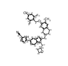 Cc1cc2c(nc1OCc1c(F)cc(Cl)cc1F)CN(Cc1nc3cc(-c4nnc(C#N)[nH]4)ncc3n1C[C@@H]1CCO1)CC2